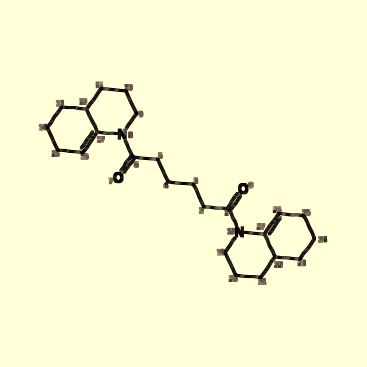 O=C(CCCCC(=O)N1CCCC2CCCC=C21)N1CCCC2CCCC=C21